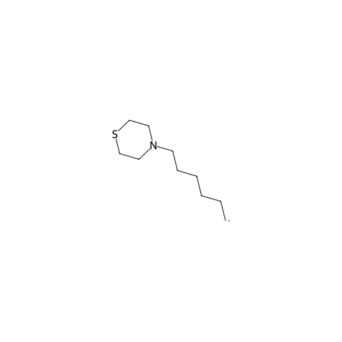 [CH2]CCCCCN1CCSCC1